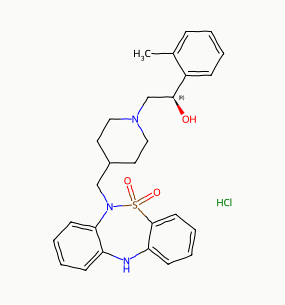 Cc1ccccc1[C@@H](O)CN1CCC(CN2c3ccccc3Nc3ccccc3S2(=O)=O)CC1.Cl